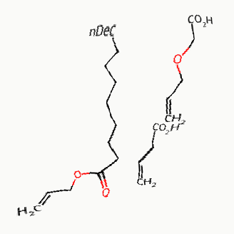 C=CCC(=O)O.C=CCOC(=O)CCCCCCCCCCCCCCCCC.C=CCOCC(=O)O